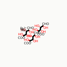 O=C[C@H](O)[C@@H](O)[C@H](O)[C@H](O)C(=O)[O-].O=C[C@H](O)[C@@H](O)[C@H](O)[C@H](O)C(=O)[O-].O=C[C@H](O)[C@@H](O)[C@H](O)[C@H](O)C(=O)[O-].[Na+].[Pb+2]